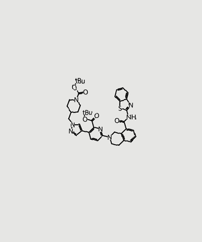 CC(C)(C)OC(=O)c1nc(N2CCc3cccc(C(=O)Nc4nc5ccccc5s4)c3C2)ccc1-c1cnn(CC2CCN(C(=O)OC(C)(C)C)CC2)c1